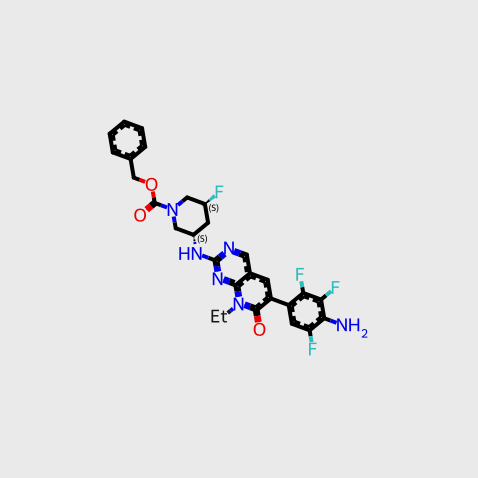 CCn1c(=O)c(-c2cc(F)c(N)c(F)c2F)cc2cnc(N[C@H]3C[C@H](F)CN(C(=O)OCc4ccccc4)C3)nc21